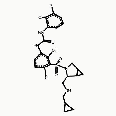 O=C(Nc1ccc(Cl)c(S(=O)(=O)N2CC3CC3[C@H]2CNCC2CC2)c1O)Nc1cccc(F)c1Cl